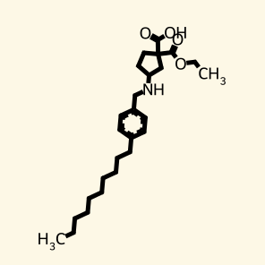 CCCCCCCCCCc1ccc(CNC2CCC(C(=O)O)(C(=O)OCC)C2)cc1